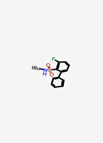 CC(C)(C)NS(=O)(=O)c1c(F)cccc1-c1ccccc1